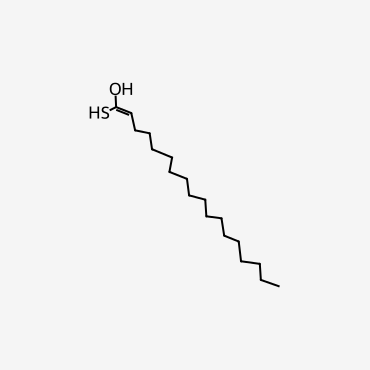 CCCCCCCCCCCCCCCCC=C(O)S